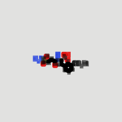 CCOC(=O)c1cccc2c1OB(O)[C@@H](NC(=O)CCS(N)(=O)=O)C2